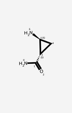 NC(=O)[C@H]1C[C@@H]1N